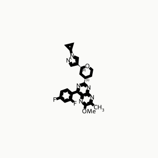 COc1nc2c(-c3ccc(F)cc3F)nc([C@H]3CCO[C@@H](c4cnn(C5CC5)c4)C3)nc2nc1C